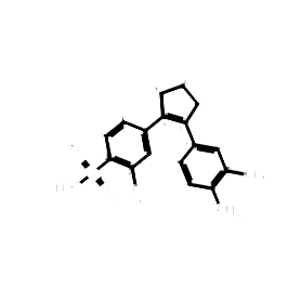 Cc1ccc(C2=C(c3ccc(S(C)(=O)=O)c(F)c3)CCC2)cc1Cl